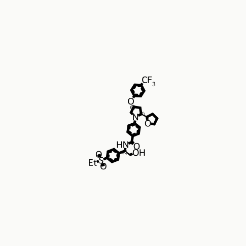 CCS(=O)(=O)c1ccc([C@H](CO)NC(=O)c2ccc(N3C[C@H](Oc4ccc(C(F)(F)F)cc4)C[C@H]3C3CCCO3)cc2)cc1